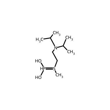 CC(C)N(CCS(C)=[PH](O)O)C(C)C